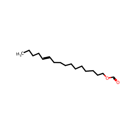 CCCCC=CCCCCCCCCCCOC=O